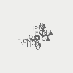 CC(C(=O)NCC(F)(F)F)c1cc(F)c(NC(=O)[C@@H](NC(=O)c2ccnn2C(C)C)C(C2CC2)C2CC2)cc1N1CCOCC1